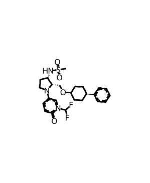 CS(=O)(=O)N[C@H]1CCN(c2ccc(=O)n(C(F)F)c2)[C@H]1CO[C@H]1CC[C@@H](c2ccccc2)CC1